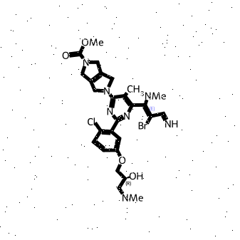 CNC[C@@H](O)COc1ccc(Cl)c(-c2nc(/C(NC)=C(\Br)C=N)c(C)c(N3CC4=C(CN(C(=O)OC)C4)C3)n2)c1